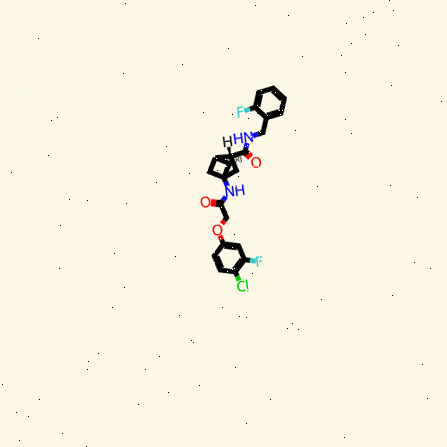 O=C(COc1ccc(Cl)c(F)c1)NC12CC(C1)[C@H](C(=O)NCc1ccccc1F)C2